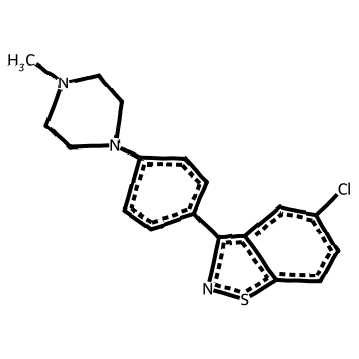 CN1CCN(c2ccc(-c3nsc4ccc(Cl)cc34)cc2)CC1